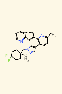 Cc1ccc(-c2cnn(CC3(C)CCC(F)(F)CC3)c2)c(-c2ccc3cccnc3c2)n1